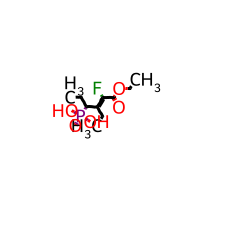 CCOC(=O)/C(F)=C(\CC)C(CC)P(=O)(O)O